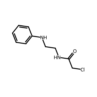 O=C(CCl)NCCNc1ccccc1